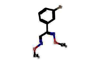 CON=CC(=NOC)c1cccc(Br)c1